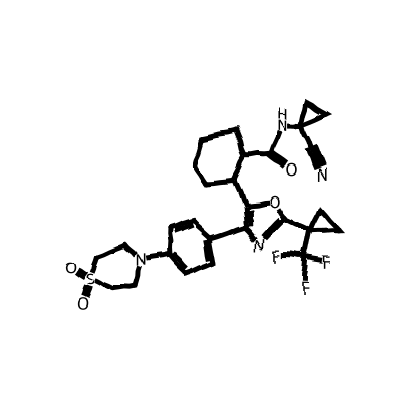 N#CC1(NC(=O)C2CCCCC2c2oc(C3(C(F)(F)F)CC3)nc2-c2ccc(N3CCS(=O)(=O)CC3)cc2)CC1